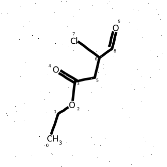 CCOC(=O)CC(Cl)C=O